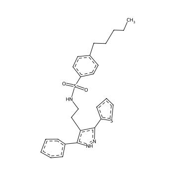 CCCCCc1ccc(S(=O)(=O)NCCc2c(-c3cccs3)n[nH]c2-c2ccccc2)cc1